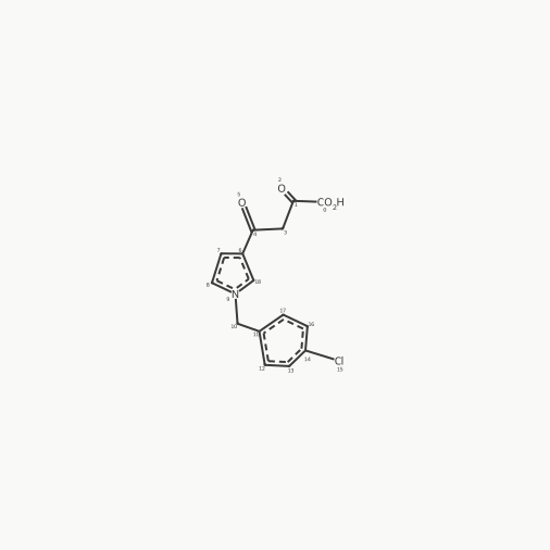 O=C(O)C(=O)CC(=O)c1ccn(Cc2ccc(Cl)cc2)c1